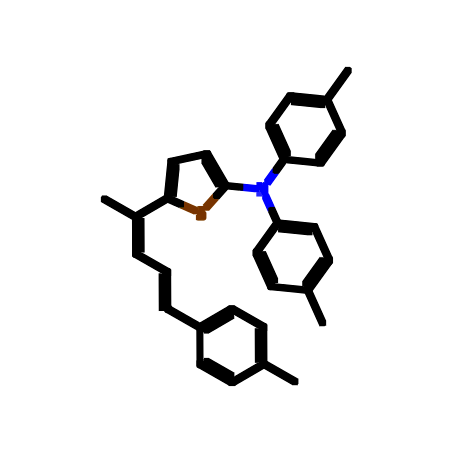 CC(=CC=Cc1ccc(C)cc1)c1ccc(N(c2ccc(C)cc2)c2ccc(C)cc2)s1